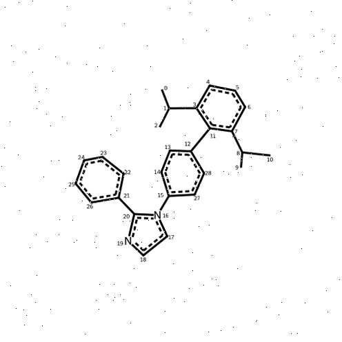 CC(C)c1cccc(C(C)C)c1-c1ccc(-n2ccnc2-c2ccccc2)cc1